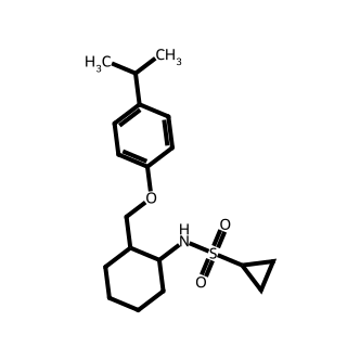 CC(C)c1ccc(OCC2CCCCC2NS(=O)(=O)C2CC2)cc1